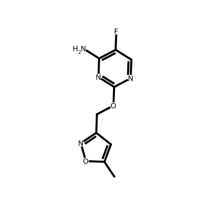 Cc1cc(COc2ncc(F)c(N)n2)no1